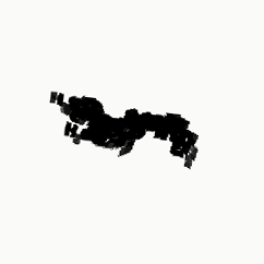 CN(C)C(=O)C=CCCC(OC(=O)N(C)C)C(=O)Nc1cccn(Cc2nc3c(CC(C(F)(F)F)C(F)(F)F)ncnc3[nH]2)c1=O